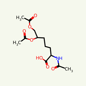 CC(=O)NC(CCCC(COC(C)=O)OC(C)=O)C(=O)O